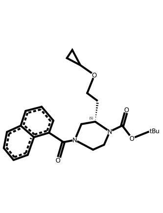 CC(C)(C)OC(=O)N1CCN(C(=O)c2cccc3ccccc23)C[C@@H]1CCOC1CC1